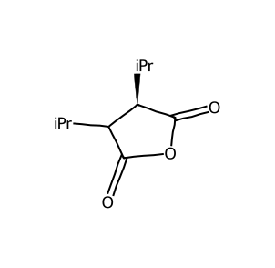 CC(C)C1C(=O)OC(=O)[C@@H]1C(C)C